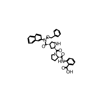 O=C(O)c1ccccc1NC(=O)[C@H]1CCCN1C(=O)[C@H]1C[C@@H](C(=O)N(OCc2ccccc2)c2ccc3ccccc3c2)CN1